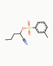 CCCC(C#N)OS(=O)(=O)c1cccc(C)c1